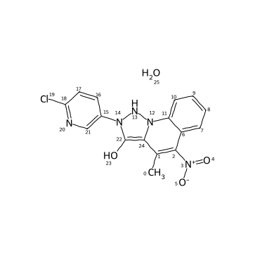 CC1=C([N+](=O)[O-])c2ccccc2N2NN(c3ccc(Cl)nc3)C(O)=C12.O